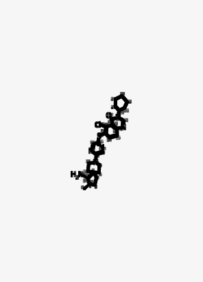 C[C@@H]1CCC2(CCN(c3cnc(Sc4ccc5ncn(C6CCCCC6)c(=O)c5c4Cl)cn3)CC2)[C@@H]1N